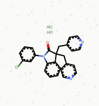 Cl.Cl.O=C1N(c2cccc(Cl)c2)c2ccccc2C1(Cc1ccncc1)Cc1ccncc1